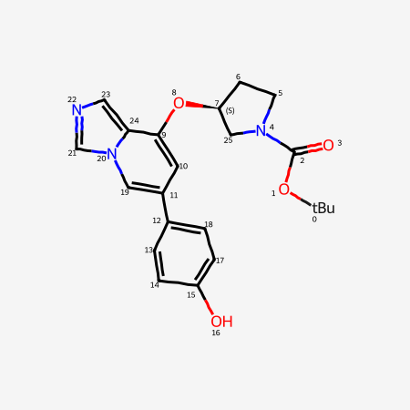 CC(C)(C)OC(=O)N1CC[C@H](Oc2cc(-c3ccc(O)cc3)cn3cncc23)C1